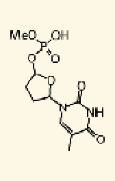 COP(=O)(O)OC1CCC(n2cc(C)c(=O)[nH]c2=O)O1